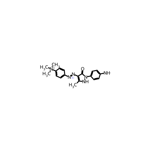 Cc1[nH]n(-c2ccc([NH])cc2)c(=O)c1/N=N/c1ccc([N+](C)(C)C)cc1